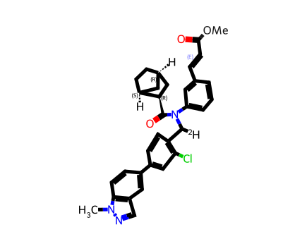 [2H]C(c1ccc(-c2ccc3c(cnn3C)c2)cc1Cl)N(C(=O)[C@@H]1C[C@@H]2CC[C@H]1C2)c1cccc(/C=C/C(=O)OC)c1